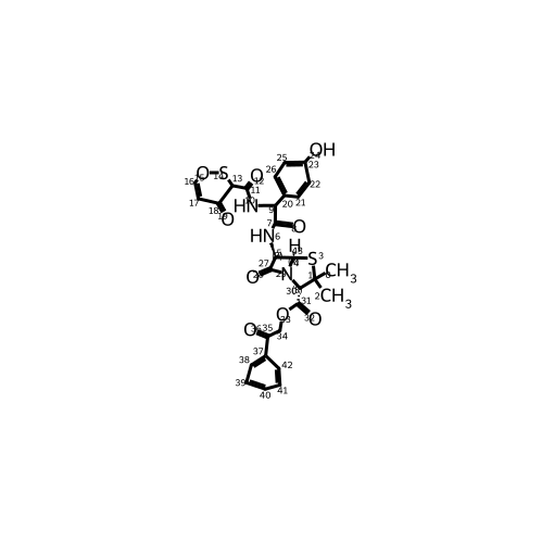 CC1(C)S[C@@H]2[C@H](NC(=O)C(NC(=O)C3SOC=CC3=O)c3ccc(O)cc3)C(=O)N2[C@H]1C(=O)OCC(=O)c1ccccc1